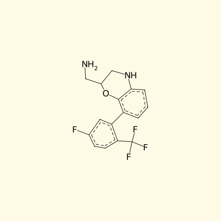 NCC1CNc2cccc(-c3cc(F)ccc3C(F)(F)F)c2O1